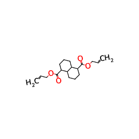 C=CCOC(=O)C1CCCC2C(C(=O)OCC=C)CCCC12